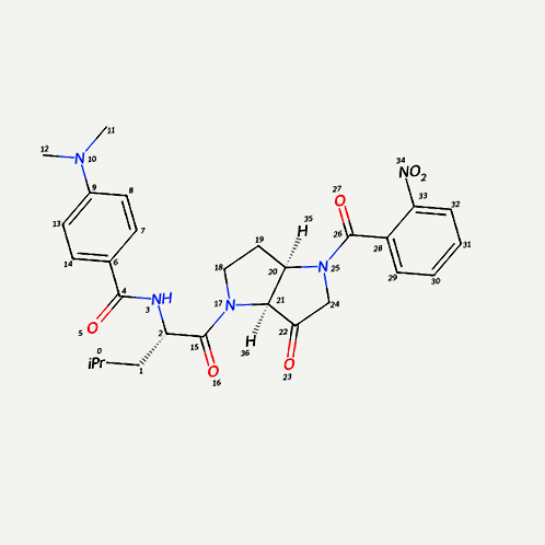 CC(C)C[C@H](NC(=O)c1ccc(N(C)C)cc1)C(=O)N1CC[C@@H]2[C@H]1C(=O)CN2C(=O)c1ccccc1[N+](=O)[O-]